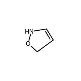 [C]1=CNOC1